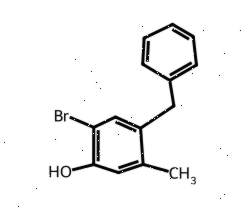 Cc1cc(O)c(Br)cc1Cc1ccccc1